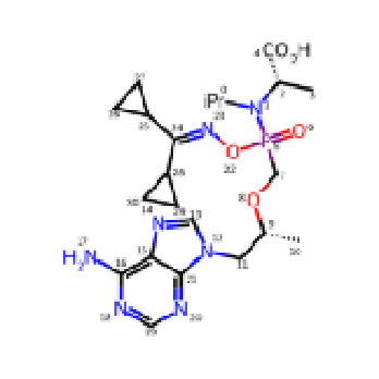 CC(C)N([C@@H](C)C(=O)O)P(=O)(CO[C@H](C)Cn1cnc2c(N)ncnc21)ON=C(C1CC1)C1CC1